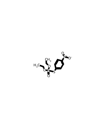 CCOP(=O)(OCC)Sc1ccc([N+](=O)[O-])cc1